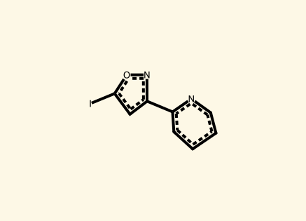 Ic1cc(-c2ccccn2)no1